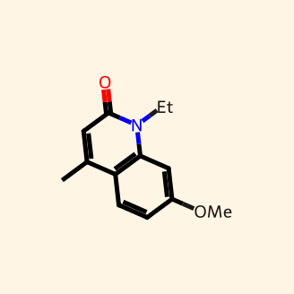 CCn1c(=O)cc(C)c2ccc(OC)cc21